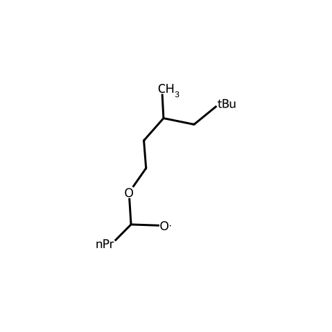 CCCC([O])OCCC(C)CC(C)(C)C